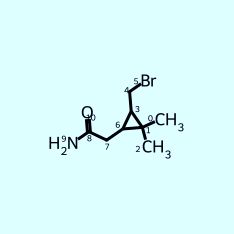 CC1(C)C(CBr)C1CC(N)=O